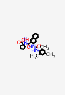 Cc1cc(C)c(NC(=O)Nc2cc3ccccc3cc2C(=O)NC2(C(=O)O)CCCC2)c(C)c1